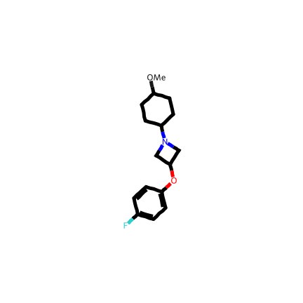 COC1CCC(N2CC(Oc3ccc(F)cc3)C2)CC1